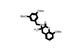 COc1cc(CNC2(N)Cc3cccc(OC)c3OC2=O)cc(OC)c1